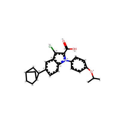 CC(C)Oc1ccc(-n2c(C(=O)O)c(Cl)c3cc(C4CC5CCC4C5)ccc32)cc1